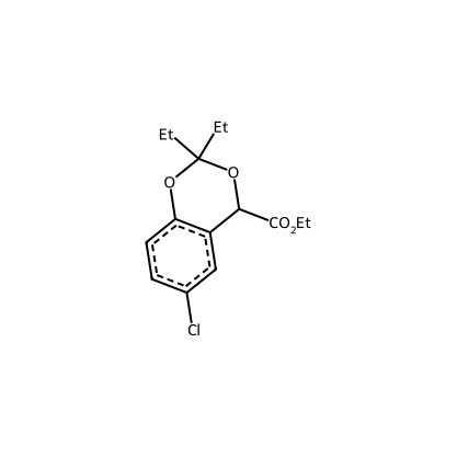 CCOC(=O)C1OC(CC)(CC)Oc2ccc(Cl)cc21